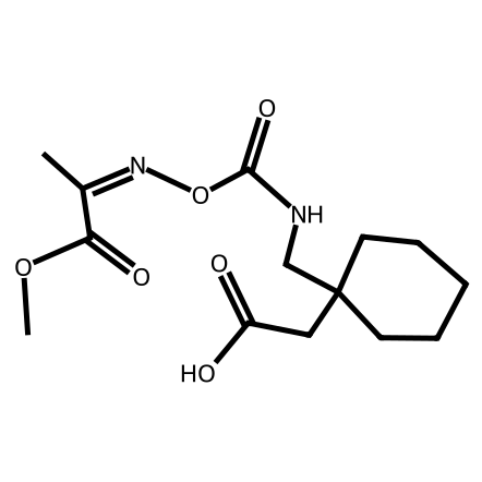 COC(=O)C(C)=NOC(=O)NCC1(CC(=O)O)CCCCC1